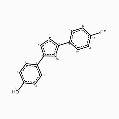 Oc1ccc(-c2csc(-c3ccc(F)cc3)n2)cc1